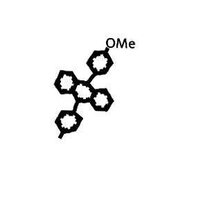 COc1ccc(-c2c3ccccc3c(-c3ccc(C)cc3)c3ccccc23)cc1